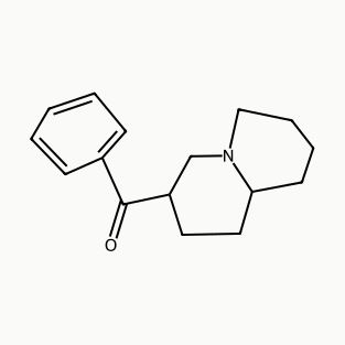 O=C(c1ccccc1)C1CCC2CCCCN2C1